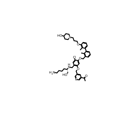 CC(=O)c1cncc(COc2cc(OCc3cccc(-c4cccc(OCCCN5CCC(O)CC5)c4C)c3C)c(Cl)cc2CN[C@H](CO)CCCCN)c1